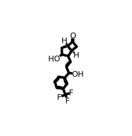 O=C1C[C@H]2C(C=CC(O)c3cccc(C(F)(F)F)c3)C(O)C[C@H]12